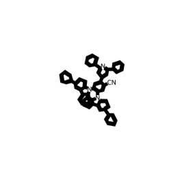 N#Cc1cc(-n2c3ccccc3c3cc(-c4ccccc4)ccc32)c(-n2c3ccccc3c3cc(-c4ccccc4)ccc32)cc1-c1cc(-c2ccccc2)nc(-c2ccccc2)c1